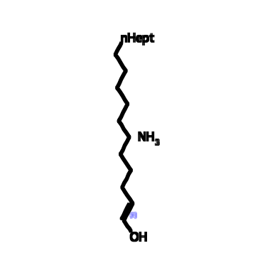 CCCCCCCCCCCCCCCC/C=C/O.N